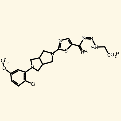 N=C(/N=N\NCC(=O)O)c1cnc(N2CC3CN(c4cc(OC(F)(F)F)ccc4Cl)CC3C2)s1